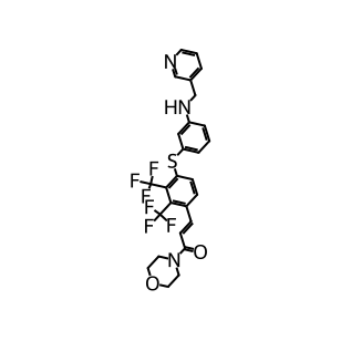 O=C(C=Cc1ccc(Sc2cccc(NCc3cccnc3)c2)c(C(F)(F)F)c1C(F)(F)F)N1CCOCC1